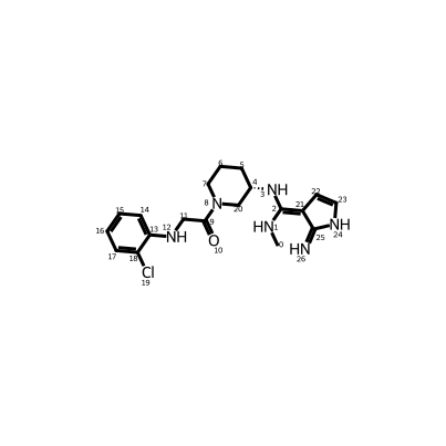 CN/C(N[C@H]1CCCN(C(=O)CNc2ccccc2Cl)C1)=C1/C=CNC1=N